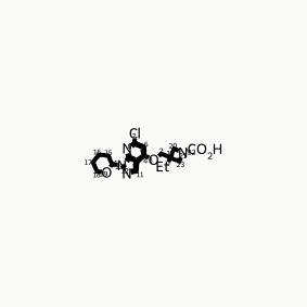 CCC1(COc2cc(Cl)nc3c2cnn3C2CCCCO2)CN(C(=O)O)C1